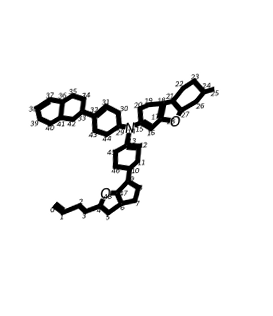 C=CCCC1CC2CCC(C3CC=C(N(C4=CC5=C(CC4)C4CCC(C)CC4O5)C4CC=C(C5CCC6C=CCCC6C5)CC4)CC3)C2O1